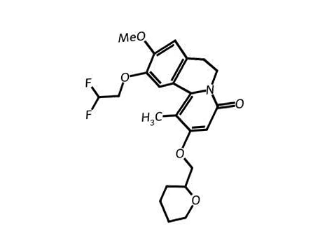 COc1cc2c(cc1OCC(F)F)-c1c(C)c(OCC3CCCCO3)cc(=O)n1CC2